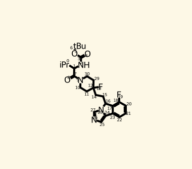 CC(C)C(NC(=O)OC(C)(C)C)C(=O)N1CCC(F)(CCC2c3c(F)cccc3-c3cncn32)CC1